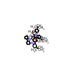 CCc1c(C(C)Cn2c3ccccc3c3cccc(-n4c5c(c6cc(C(C)(C)C)ccc64)C=C(C(C)(C)C)CC5)c32)c(=O)c2cc(C(C)(C)C)ccc2n1-c1ccc(C(C)(C)C)cc1C